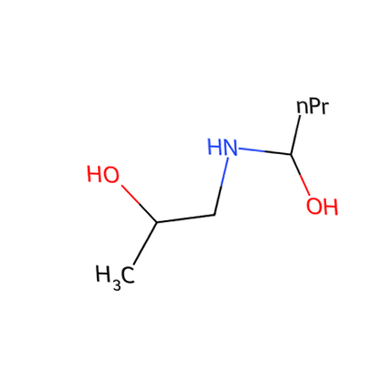 CCCC(O)NCC(C)O